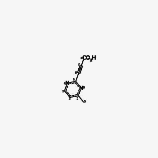 Cc1ccnc(C#CC(=O)O)n1